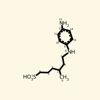 CC(CCCS(=O)(=O)O)CCNc1ccc(N)cc1